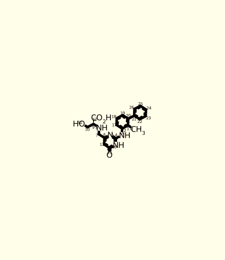 Cc1c(Nc2nc(CN[C@H](CO)C(=O)O)cc(=O)[nH]2)cccc1-c1ccccc1